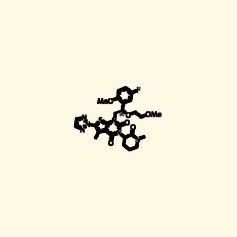 COCCO[C@@H](Cn1c(=O)n(C2CCCN(C)C2=O)c(=O)c2c(C)c(-n3nccn3)sc21)c1cc(F)ccc1OC